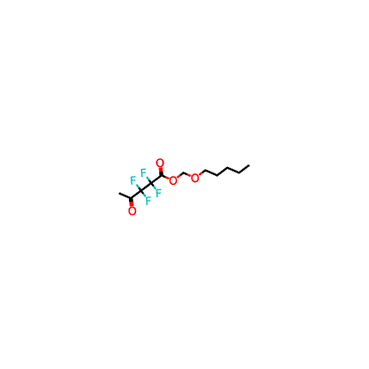 CCCCCOCOC(=O)C(F)(F)C(F)(F)C(C)=O